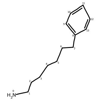 NCCCCCC[CH]c1ccccc1